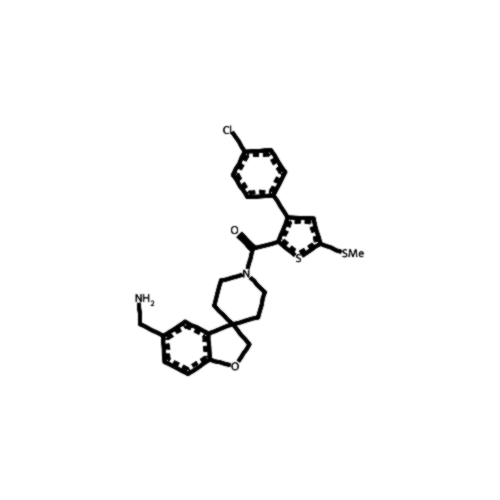 CSc1cc(-c2ccc(Cl)cc2)c(C(=O)N2CCC3(CC2)COc2ccc(CN)cc23)s1